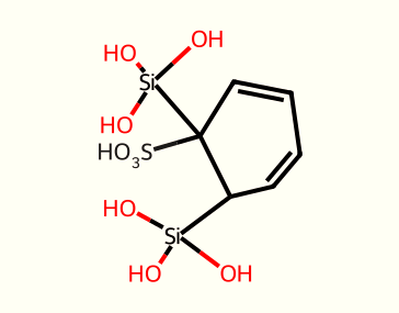 O=S(=O)(O)C1([Si](O)(O)O)C=CC=CC1[Si](O)(O)O